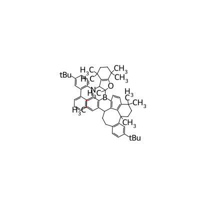 Cc1cc2c3c(c1)N(c1ccc(C(C)(C)C)cc1-c1ccccc1)C1C4=C(OC1(C)B3c1ccc3c5c1C2CCc1ccc(C(C)(C)C)cc1C5(C)CCC3(C)C)C(C)(C)CCC4(C)C